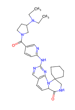 CCN(CC)C1CCN(C(=O)c2ccc(Nc3ncc4c(n3)N3C(C=C4)C(=O)NCC34CCCCC4)nc2)C1